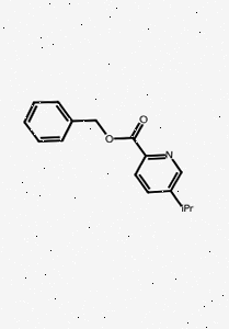 CC(C)c1ccc(C(=O)OCc2ccccc2)nc1